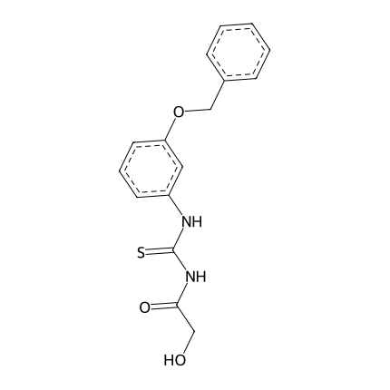 O=C(CO)NC(=S)Nc1cccc(OCc2ccccc2)c1